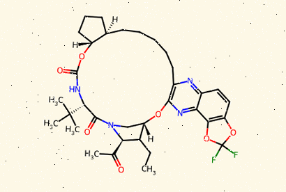 CCC1[C@@H]2CN(C(=O)[C@H](C(C)(C)C)NC(=O)O[C@@H]3CCC[C@H]3CCCCCc3nc4ccc5c(c4nc3O2)OC(F)(F)O5)[C@@H]1C(C)=O